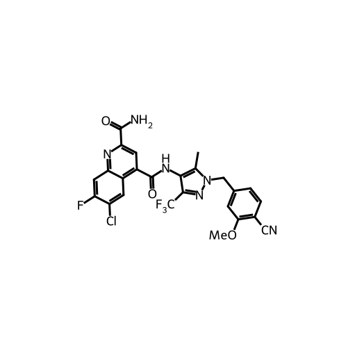 COc1cc(Cn2nc(C(F)(F)F)c(NC(=O)c3cc(C(N)=O)nc4cc(F)c(Cl)cc34)c2C)ccc1C#N